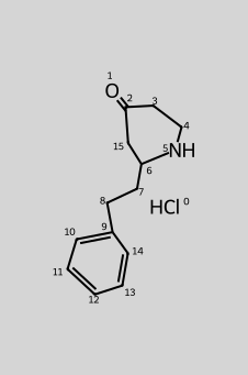 Cl.O=C1CCNC(CCc2ccccc2)C1